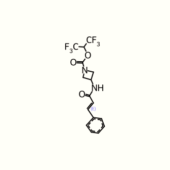 O=C(/C=C/c1ccccc1)NC1CN(C(=O)OC(C(F)(F)F)C(F)(F)F)C1